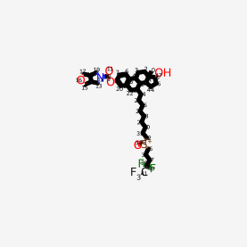 CC12CCC3c4ccc(OC(=O)N5CC6COCC6C5)cc4CC(CCCCCCCCC[S+]([O-])CCCC(F)(F)C(F)(F)F)C3C1CCC2O